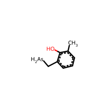 Cc1cccc(C[AsH2])c1O